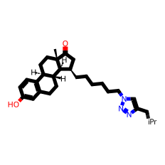 CC(C)Cc1cn(CCCCCC[C@@H]2CC(=O)[C@@]3(C)CC[C@@H]4c5ccc(O)cc5CC[C@H]4[C@H]23)nn1